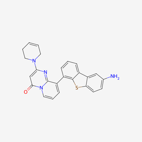 Nc1ccc2sc3c(-c4cccn5c(=O)cc(N6CC=CCC6)nc45)cccc3c2c1